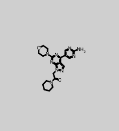 Nc1ncc(-c2nc(N3CCOCC3)nc3c2cnn3CC(=O)N2CCCCC2)cn1